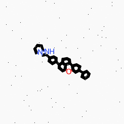 C1=CC2NC(c3ccc(-c4ccc5c6c(cccc46)-c4ccc(-c6ccccc6)cc4O5)cc3)=CN2C=C1